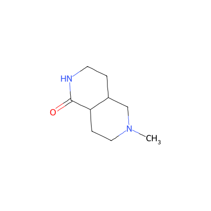 CN1CCC2C(=O)NCCC2C1